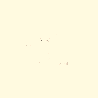 CCCCCC(SSC(CCCCC)C(=O)OCCCC)C(=O)OCCCC